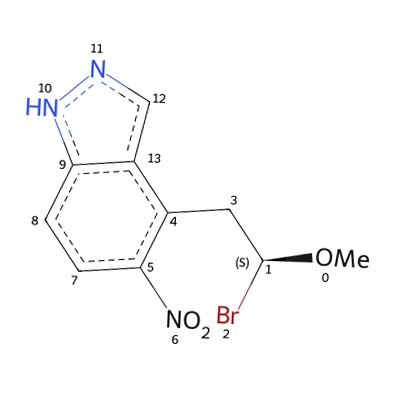 CO[C@@H](Br)Cc1c([N+](=O)[O-])ccc2[nH]ncc12